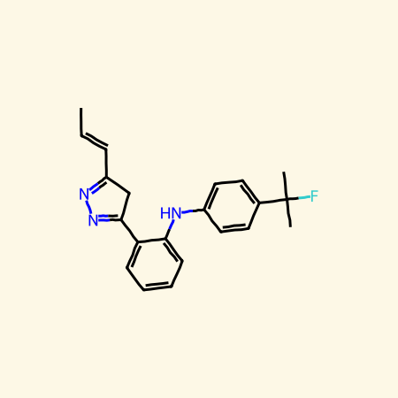 C/C=C/C1=NN=C(c2ccccc2Nc2ccc(C(C)(C)F)cc2)C1